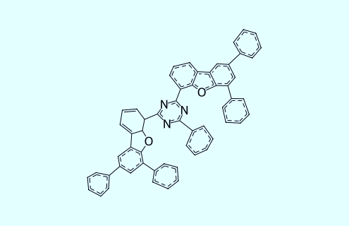 C1=CC(c2nc(-c3ccccc3)nc(-c3cccc4c3oc3c(-c5ccccc5)cc(-c5ccccc5)cc34)n2)C2Oc3c(cc(-c4ccccc4)cc3-c3ccccc3)C2=C1